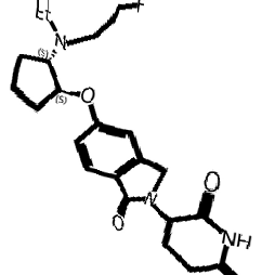 CCN(CCF)[C@H]1CCC[C@@H]1Oc1ccc2c(c1)CN(C1CCC(=O)NC1=O)C2=O